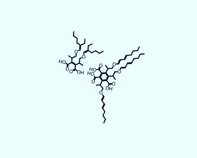 CCCCC(=COCC(C)/C(C(=O)O)=C(/C(=O)O)C(C)COC=C(CC)CCCC)CC.CCCCC=CC=COCC(C)c1c(C(=O)O)c(C(=O)O)c(C(C)COC=CC=CCCCC)c(C(C)COC=CC=CCCCC)c1C(=O)O